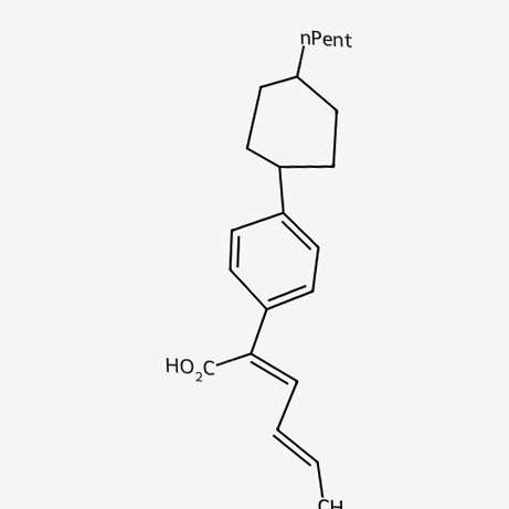 CC=CC=C(C(=O)O)c1ccc(C2CCC(CCCCC)CC2)cc1